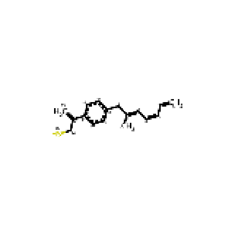 C=C/C=C\C=C(/C)Cc1ccc(C(=C)CS)cc1